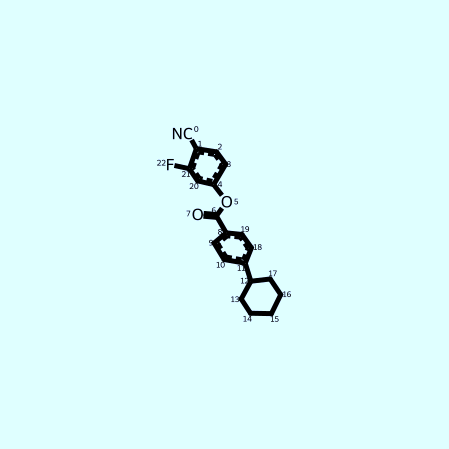 N#Cc1ccc(OC(=O)c2ccc(C3CCCCC3)cc2)cc1F